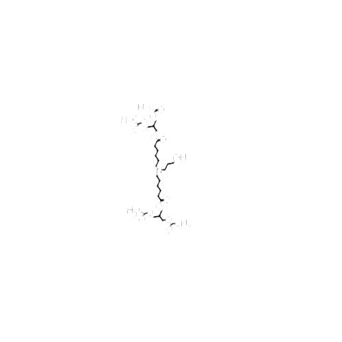 CC(=O)OCC(COC(C)=O)COC(=O)CCCCCN(CCCO)CCCCCC(=O)OCC(COC(C)=O)COC(C)=O